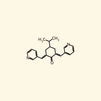 CC(C)C1C/C(=C\c2cccnc2)C(=O)/C(=C/c2cccnc2)C1